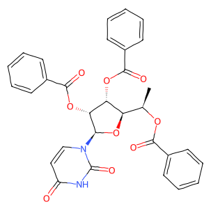 C[C@@H](OC(=O)c1ccccc1)[C@H]1O[C@@H](n2ccc(=O)[nH]c2=O)[C@H](OC(=O)c2ccccc2)[C@@H]1OC(=O)c1ccccc1